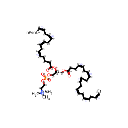 CC/C=C\C/C=C\C/C=C\C/C=C\C/C=C\C/C=C\CCC(=O)OC[C@H](COP(=O)([O-])OCC[N+](C)(C)C)OC(=O)CCC/C=C\C/C=C\C/C=C\C/C=C\CCCCC